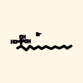 CCCCCCCCCCCCC(C)[N+](O)(O)O.[Br-]